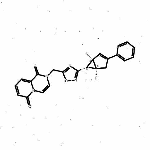 O=c1c2cccc(=O)n2ccn1Cc1nc([C@@H]2[C@H]3C=C(c4ccccc4)C[C@H]32)no1